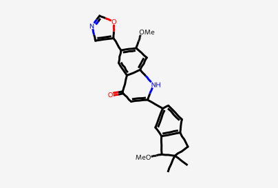 COc1cc2[nH]c(-c3ccc4c(c3)C(OC)C(C)(C)C4)cc(=O)c2cc1-c1cnco1